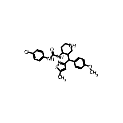 COc1ccc(C(c2cc(C)sn2)C2CNCCC2NC(=O)Nc2ccc(Cl)cc2)cc1